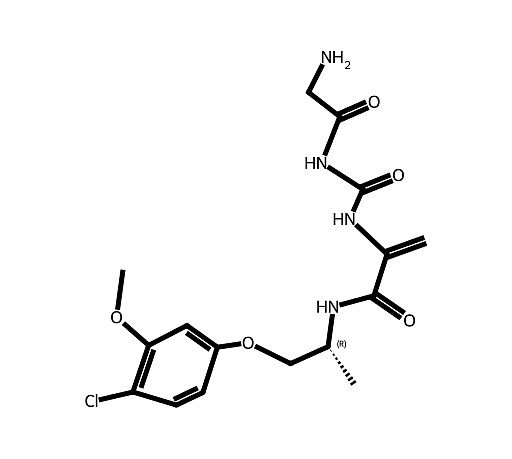 C=C(NC(=O)NC(=O)CN)C(=O)N[C@H](C)COc1ccc(Cl)c(OC)c1